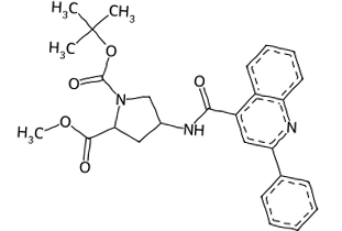 COC(=O)C1CC(NC(=O)c2cc(-c3ccccc3)nc3ccccc23)CN1C(=O)OC(C)(C)C